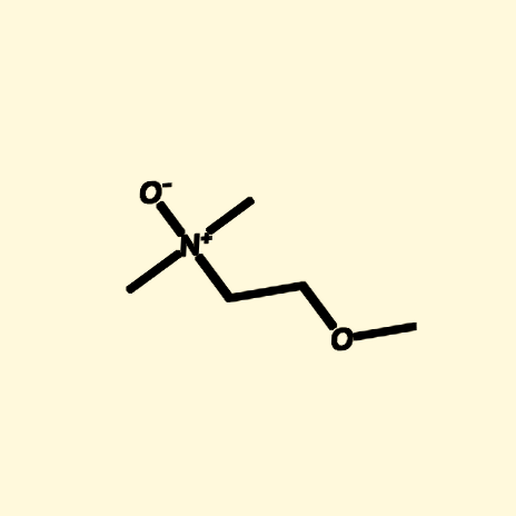 COCC[N+](C)(C)[O-]